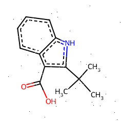 CC(C)(C)c1[nH]c2ccccc2c1C(=O)O